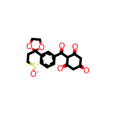 O=C1CC(=O)C(C(=O)c2ccc3c(c2)C2(CC[S+]3[O-])OCCO2)C(=O)C1